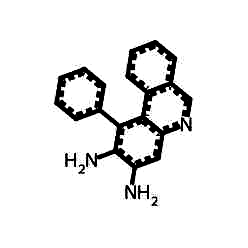 Nc1cc2ncc3ccccc3c2c(-c2ccccc2)c1N